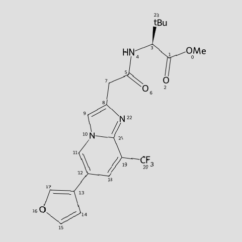 COC(=O)[C@@H](NC(=O)Cc1cn2cc(-c3ccoc3)cc(C(F)(F)F)c2n1)C(C)(C)C